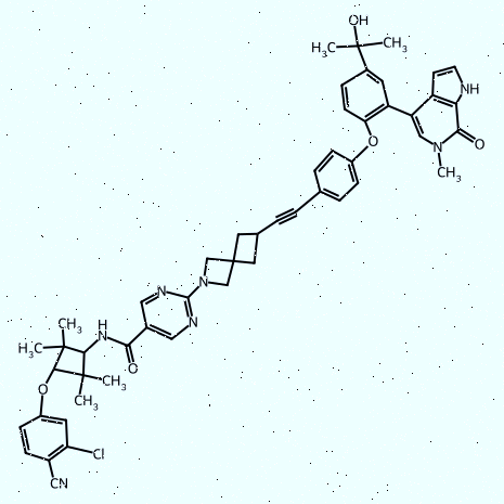 Cn1cc(-c2cc(C(C)(C)O)ccc2Oc2ccc(C#CC3CC4(C3)CN(c3ncc(C(=O)NC5C(C)(C)C(Oc6ccc(C#N)c(Cl)c6)C5(C)C)cn3)C4)cc2)c2cc[nH]c2c1=O